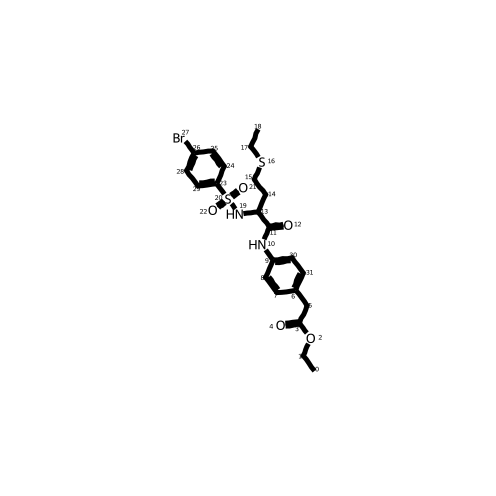 CCOC(=O)Cc1ccc(NC(=O)C(CCSCC)NS(=O)(=O)c2ccc(Br)cc2)cc1